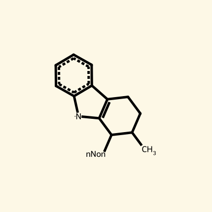 CCCCCCCCCC1C2=C(CCC1C)c1ccccc1[N]2